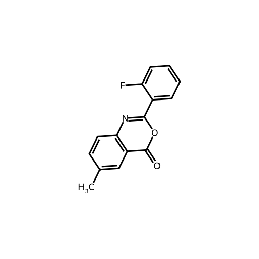 Cc1ccc2nc(-c3ccccc3F)oc(=O)c2c1